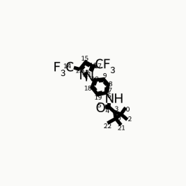 CC1(C)C(C(=O)Nc2ccc(-n3nc(C(F)(F)F)cc3C(F)(F)F)cc2)C1(C)C